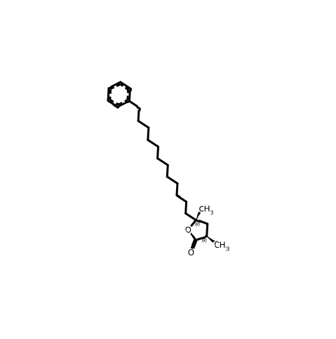 C[C@@H]1C[C@@](C)(CCCCCCCCCCCCc2ccccc2)OC1=O